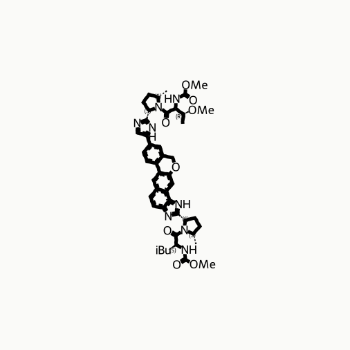 CC[C@H](C)C(NC(=O)OC)C(=O)N1[C@@H](C)CC[C@H]1c1nc2ccc3cc4c(cc3c2[nH]1)OCc1cc(-c2cnc([C@@H]3CC[C@H](C)N3C(=O)C(NC(=O)OC)[C@@H](C)OC)[nH]2)ccc1-4